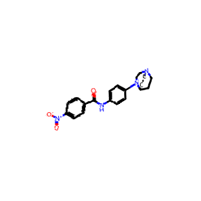 O=C(Nc1ccc(N2CCN3CCC2CC3)cc1)c1ccc([N+](=O)[O-])cc1